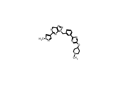 CN1CCC(Oc2cnc(-c3cccc(Cn4nnc5cnc(-c6cnn(C)c6)nc54)c3)nc2)CC1